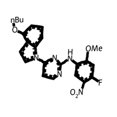 CCCCOc1cccc2c1ccn2-c1ccnc(Nc2cc([N+](=O)[O-])c(F)cc2OC)n1